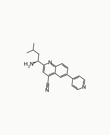 CC(C)C[C@H](N)c1cc(C#N)c2cc(-c3ccncc3)ccc2n1